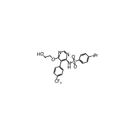 CC(C)c1ccc(S(=O)(=O)Nc2ncnc(OCCO)c2-c2ccc(C(F)(F)F)cc2)cc1